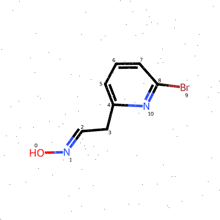 ON=CCc1cccc(Br)n1